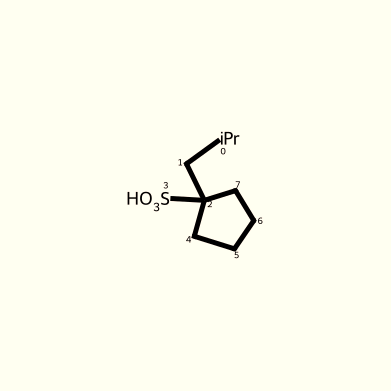 CC(C)CC1(S(=O)(=O)O)CCCC1